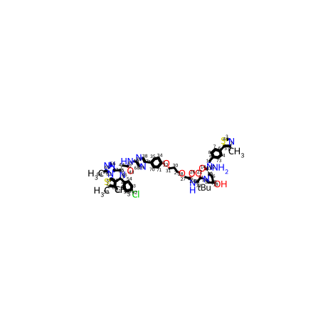 Cc1ncsc1-c1ccc(CN(N)C(=O)[C@@H]2C[C@@H](O)CN2C(=O)[C@@H](NC(=O)COCCCOc2ccc(-c3cnc(NC(=O)C[C@@H]4N=C(c5ccc(Cl)cc5)c5c(sc(C)c5C)-n5c(C)nnc54)cn3)cc2)C(C)(C)C)cc1